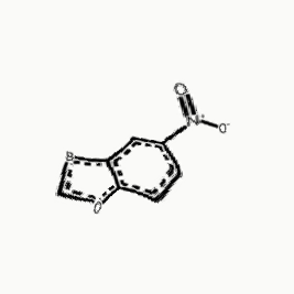 O=[N+]([O-])c1ccc2ocbc2c1